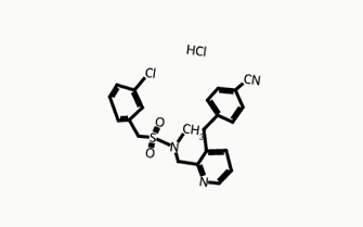 CN(Cc1ncccc1Cc1ccc(C#N)cc1)S(=O)(=O)Cc1cccc(Cl)c1.Cl